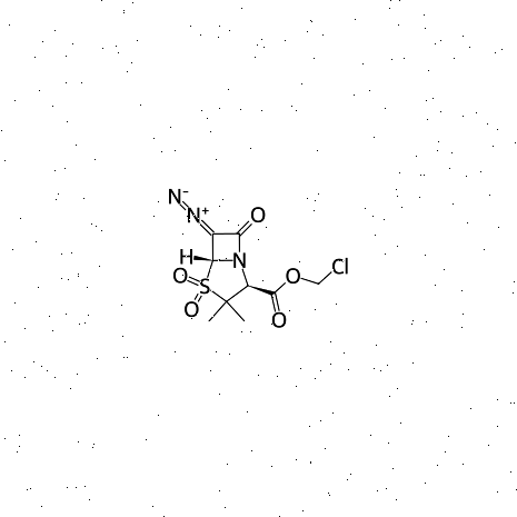 CC1(C)[C@H](C(=O)OCCl)N2C(=O)C(=[N+]=[N-])[C@H]2S1(=O)=O